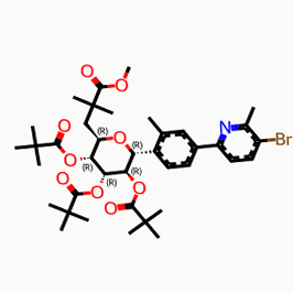 COC(=O)C(C)(C)C[C@H]1O[C@H](c2ccc(-c3ccc(Br)c(C)n3)cc2C)[C@@H](OC(=O)C(C)(C)C)[C@H](OC(=O)C(C)(C)C)[C@@H]1OC(=O)C(C)(C)C